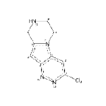 Clc1cc2c(cc3n2CCNC3)nn1